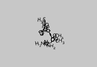 CCOC(=O)Oc1cn(C23CC4CC(CC(C4)C2)C3)c2cc(C#Cc3cc(Cc4cnc(N)nc4N)cc(OC)c3OC)ccc2c1=O